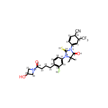 CC1(C)C(=O)N(C2=CC(C(F)(F)F)C(C#N)C=C2)C(=S)N1c1ccc(CCCC(=O)N2CC(O)C2)c(F)c1